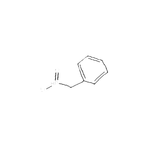 CC[PH](=O)Cc1ccccc1